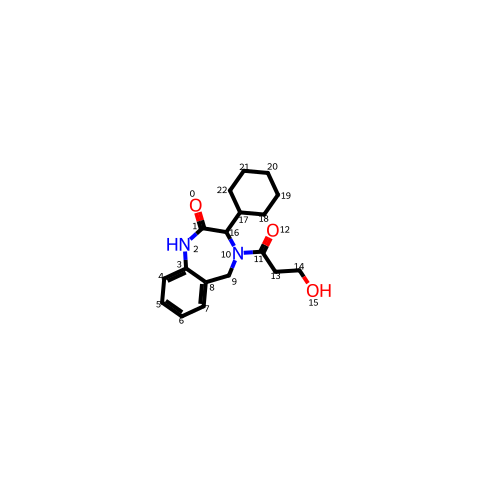 O=C1Nc2ccccc2CN(C(=O)CCO)C1C1CCCCC1